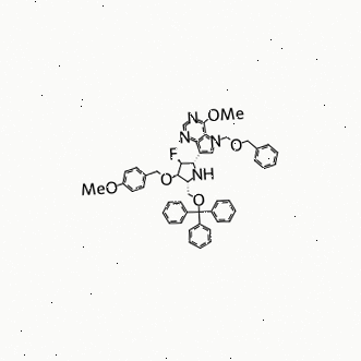 COc1ccc(CO[C@H]2[C@@H](F)[C@H](c3cn(COCc4ccccc4)c4c(OC)ncnc34)N[C@@H]2COC(c2ccccc2)(c2ccccc2)c2ccccc2)cc1